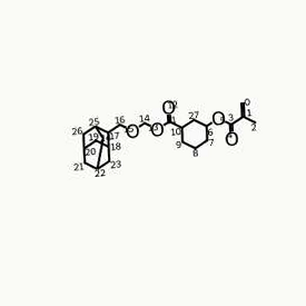 C=C(C)C(=O)OC1CCCC(C(=O)OCOCC2C3CC4CC(C3)CC2C4)C1